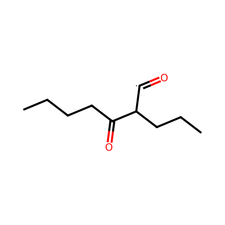 CCCCC(=O)C([C]=O)CCC